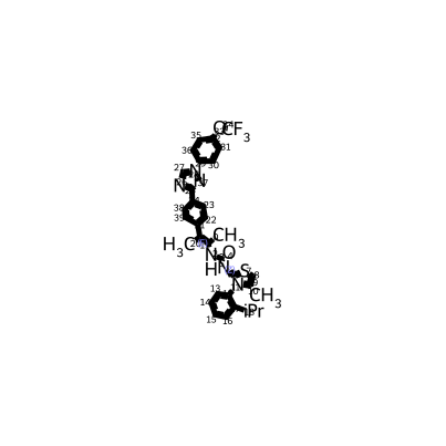 C/C(NC(=O)/N=c1\scc(C)n1-c1ccccc1C(C)C)=C(/C)c1ccc(-c2ncn(-c3ccc(OC(F)(F)F)cc3)n2)cc1